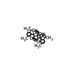 Cc1ccc(C(C)C)c2c(O)c(C(C(=O)O)c3c(O)c4c(C(C)C)ccc(C)c4oc3=O)c(=O)oc12